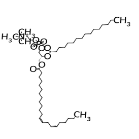 CCCCC/C=C\C/C=C\CCCCCCCCCCCC(=O)OC[C@H](COP(=O)([O-])OCC[N+](C)(C)C)OC(=O)CCCCCCCCCCCCCCC